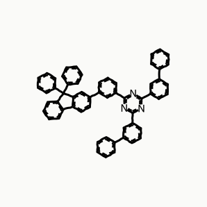 c1ccc(-c2cccc(-c3nc(-c4cccc(-c5ccccc5)c4)nc(-c4cccc(-c5ccc6c(c5)C(c5ccccc5)(c5ccccc5)c5ccccc5-6)c4)n3)c2)cc1